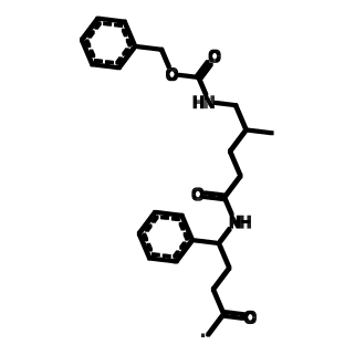 [CH2]C(=O)CCC(NC(=O)CCC(C)CNC(=O)OCc1ccccc1)c1ccccc1